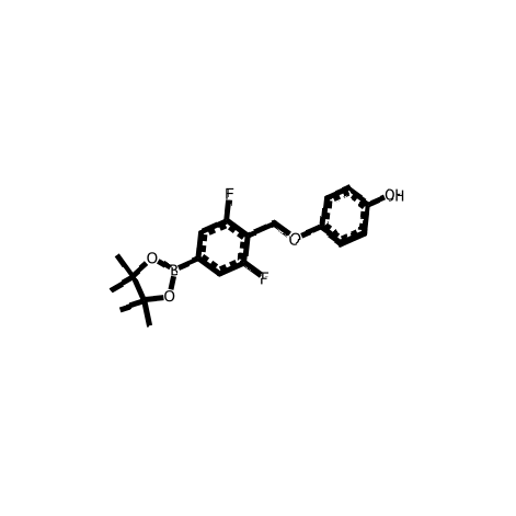 CC1(C)OB(c2cc(F)c(COc3ccc(O)cc3)c(F)c2)OC1(C)C